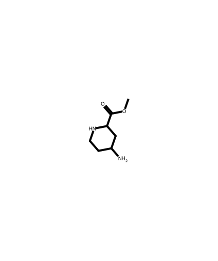 COC(=O)C1CC(N)CCN1